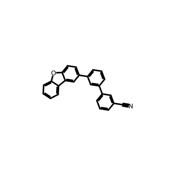 N#Cc1cccc(-c2cccc(-c3ccc4oc5ccccc5c4c3)c2)c1